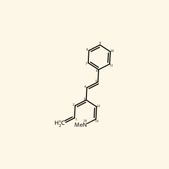 C=C/C=C(C=Cc1ccccc1)\C=C/NC